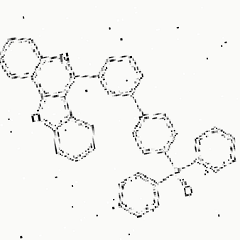 O=P(c1ccccc1)(c1ccccc1)c1ccc(-c2cccc(-c3nc4ccccc4c4oc5ccccc5c34)c2)cc1